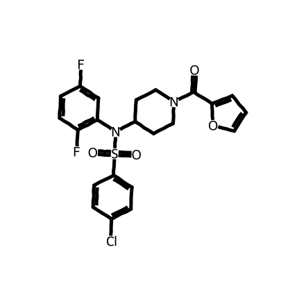 O=C(c1ccco1)N1CCC(N(c2cc(F)ccc2F)S(=O)(=O)c2ccc(Cl)cc2)CC1